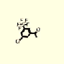 CC(=O)c1cc(Cl)cc(S(F)(F)(F)(F)F)c1